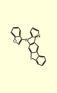 c1ccc2c(-n3c4cc5sc6ccccc6c5cc4c4ncccc43)coc2c1